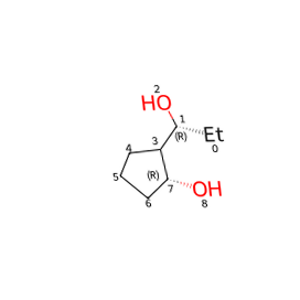 CC[C@@H](O)C1CCC[C@H]1O